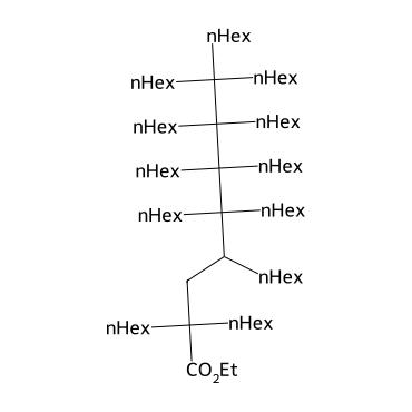 CCCCCCC(CC(CCCCCC)(CCCCCC)C(=O)OCC)C(CCCCCC)(CCCCCC)C(CCCCCC)(CCCCCC)C(CCCCCC)(CCCCCC)C(CCCCCC)(CCCCCC)CCCCCC